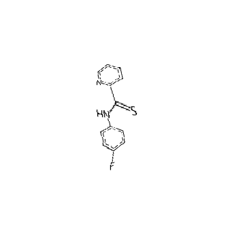 Fc1ccc(NC(=S)c2ccccn2)cc1